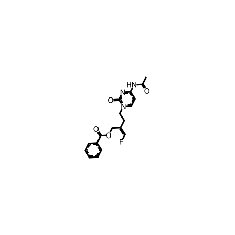 CC(=O)Nc1ccn(CC/C(=C/F)COC(=O)c2ccccc2)c(=O)n1